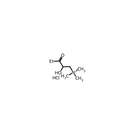 CCC(=O)C(O)C[N+](C)(C)C.Cl